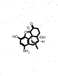 CN1CC[C@]23c4c5c(N)cc(O)c4O[C@H]2C(=O)CC[C@@]3(O)[C@H]1C5